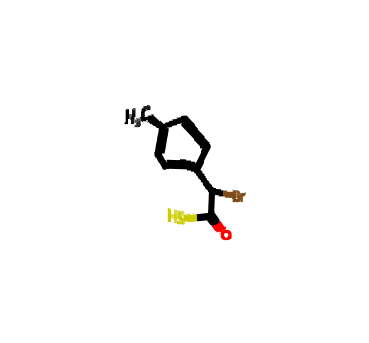 Cc1ccc(C(Br)C(=O)S)cc1